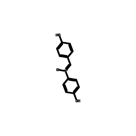 [O-][N+](=Cc1ccc(O)cc1)c1ccc(O)cc1